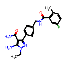 CCn1nc(-c2ccc(CNC(=O)c3cc(F)ccc3C)cc2)c(C(N)=O)c1N